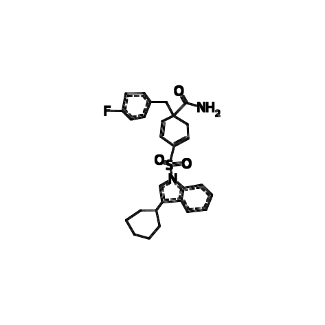 NC(=O)C1(Cc2ccc(F)cc2)C=CC(S(=O)(=O)n2cc(C3CCCCC3)c3ccccc32)=CC1